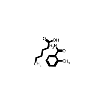 CCCCCC(=O)O.Cc1ccccc1C(N)=O